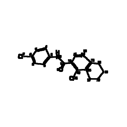 O=C(Nc1ccc(Cl)cc1)c1cnc2c(c1Cl)CCCC2